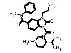 CC(C)[C@@H]1CCN(C)CN1C(=O)n1c(=O)n(CCN)c2cc(C(=O)N(C)c3ccccc3)ccc21